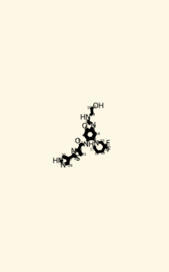 O=C(Nc1cc2oc(NCCO)nc2cc1N1CCCC(F)(F)C1)c1csc(-c2cn[nH]c2)n1